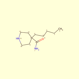 CCCCCC1(C(N)=O)CCNCC1